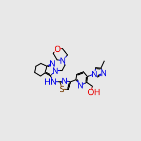 Cc1cn(-c2ccc(-c3csc(Nc4c5c(nn4CCN4CCOCC4)CCCC5)n3)nc2CO)cn1